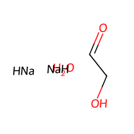 O.O=CCO.[NaH].[NaH]